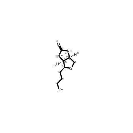 CC(C)CCC[C@@H]1SC[C@@H]2NC(=O)N[C@@H]21